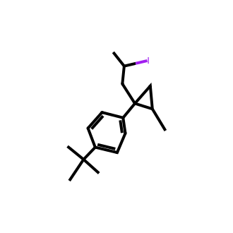 CC(I)CC1(c2ccc(C(C)(C)C)cc2)CC1C